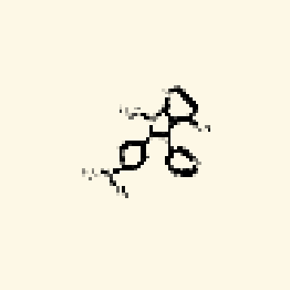 CN(C)c1ccc(-c2c(-c3cccnc3)c3c(C#N)ccnc3n2C)cc1